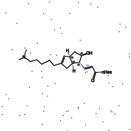 CCCCCCC(=O)/C=C/[C@@H]1[C@H]2CC(CCCCCN(C)C)=C[C@H]2C[C@H]1O